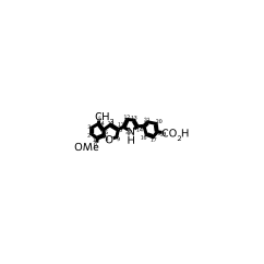 COc1ccc(C)c2c1OCC(c1ccc(-c3ccc(C(=O)O)cc3)[nH]1)=C2